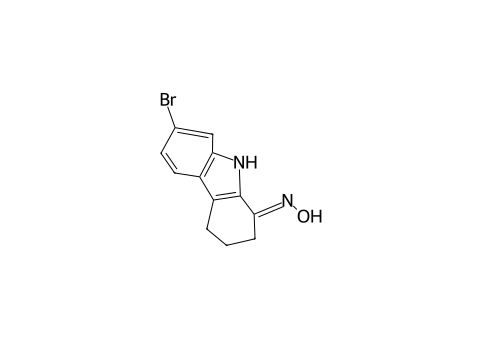 ON=C1CCCc2c1[nH]c1cc(Br)ccc21